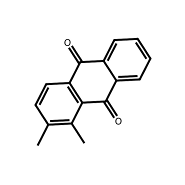 Cc1ccc2c(c1C)C(=O)c1ccccc1C2=O